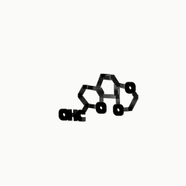 O=CC1CCc2ccc3c(c2O1)OCCO3